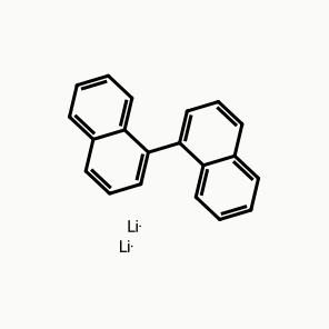 [Li].[Li].c1ccc2c(-c3cccc4ccccc34)cccc2c1